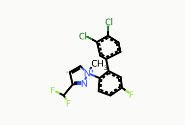 C[N+]1(c2ccc(F)cc2-c2ccc(Cl)c(Cl)c2)C=[C]C(C(F)F)=N1